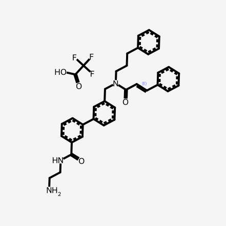 NCCNC(=O)c1cccc(-c2cccc(CN(CCCc3ccccc3)C(=O)/C=C/c3ccccc3)c2)c1.O=C(O)C(F)(F)F